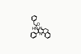 O=C(Cc1ccccc1)Nc1nc2c(nc1-c1ccccc1)-c1ccccc1CC2